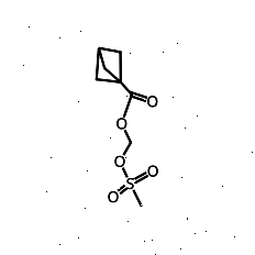 CS(=O)(=O)OCOC(=O)C12CC(C1)C2